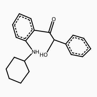 O=C(c1ccccc1NC1CCCCC1)C(O)c1ccccc1